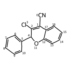 N#CC1=C(Cl)C(c2ccccc2)Oc2ccccc21